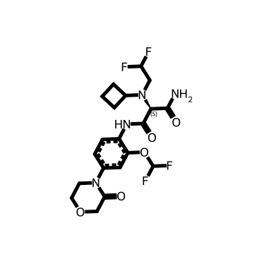 NC(=O)[C@@H](C(=O)Nc1ccc(N2CCOCC2=O)cc1OC(F)F)N(CC(F)F)C1CCC1